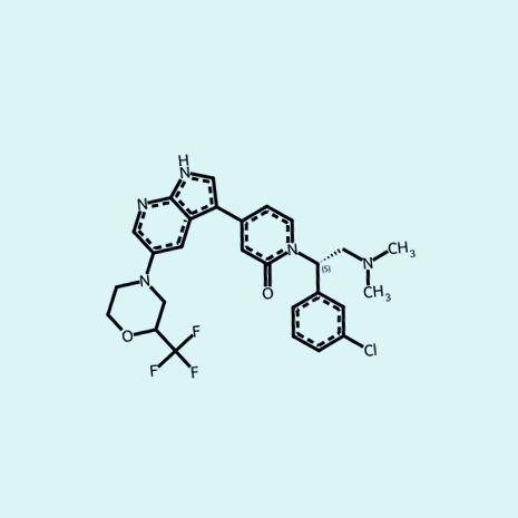 CN(C)C[C@H](c1cccc(Cl)c1)n1ccc(-c2c[nH]c3ncc(N4CCOC(C(F)(F)F)C4)cc23)cc1=O